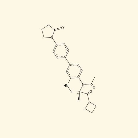 CC(=O)N1c2ccc(-c3ccc(N4CCCC4=O)cc3)cc2NC[C@@]1(C)C(=O)C1CCC1